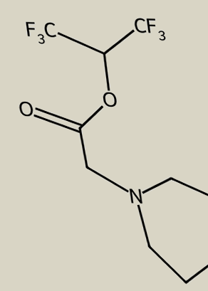 O=C(CN1CCOCC1)OC(C(F)(F)F)C(F)(F)F